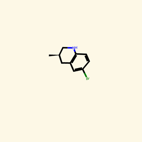 C[C@H]1CNc2ccc(Br)cc2C1